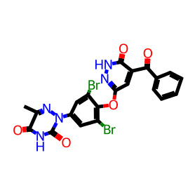 Cc1nn(-c2cc(Br)c(Oc3cc(C(=O)c4ccccc4)c(=O)[nH]n3)c(Br)c2)c(=O)[nH]c1=O